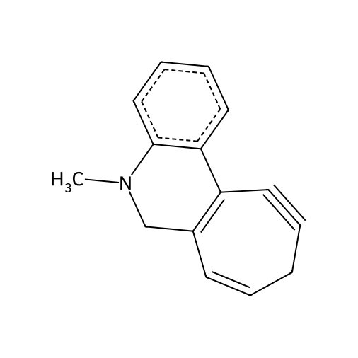 CN1CC2=C(C#CCC=C2)c2ccccc21